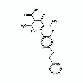 COC1=C(c2ccc(OCc3ccccc3)cc2F)NN(C)C(C(=O)O)C1=O